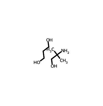 CC(C)(N)CO.OCCCO